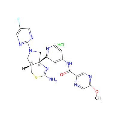 COc1cnc(C(=O)Nc2ccnc([C@]34CN(c5ncc(F)cn5)C[C@H]3CSC(N)=N4)c2)cn1.Cl